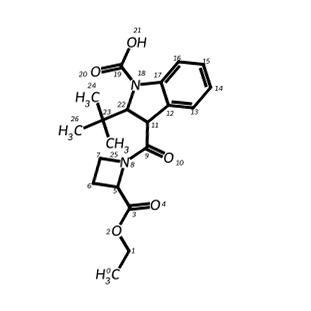 CCOC(=O)C1CCN1C(=O)C1c2ccccc2N(C(=O)O)C1C(C)(C)C